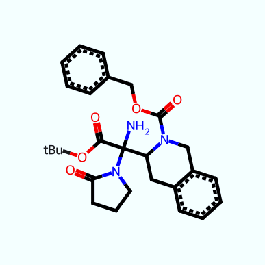 CC(C)(C)OC(=O)C(N)(C1Cc2ccccc2CN1C(=O)OCc1ccccc1)N1CCCC1=O